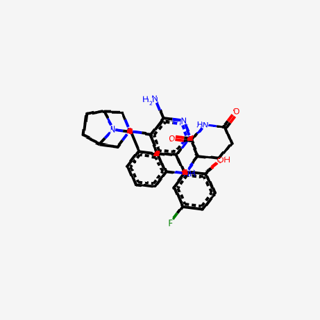 Nc1nnc(-c2cc(F)ccc2O)cc1N1CC2CCC(C1)N2Cc1cccc(NC2CCC(=O)NC2=O)c1